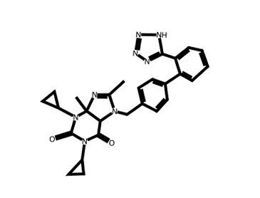 CC1=NC2(C)C(C(=O)N(C3CC3)C(=O)N2C2CC2)N1Cc1ccc(-c2ccccc2-c2nnn[nH]2)cc1